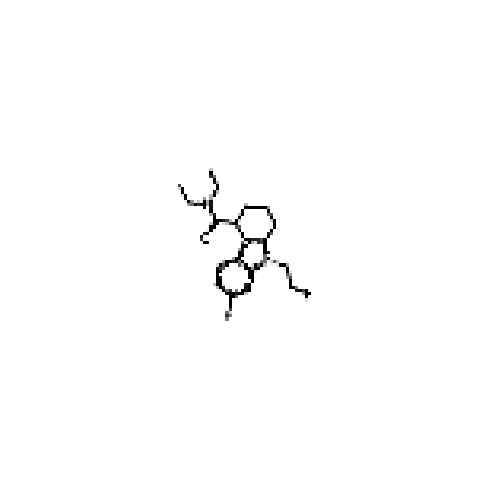 CCN(CC)C(=O)C1CCCc2c1c1ccc(F)cc1n2CCF